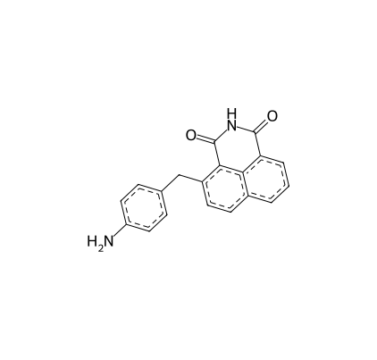 Nc1ccc(Cc2ccc3cccc4c3c2C(=O)NC4=O)cc1